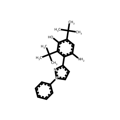 CC(C)(C)c1cc(N)c(-c2ccn(-c3ccccc3)n2)c(C(C)(C)C)c1O